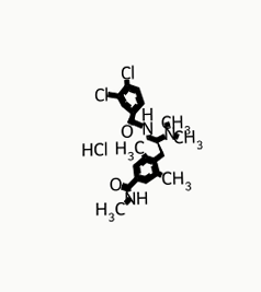 CNC(=O)c1cc(C)c(C[C@@H](CNC(=O)c2ccc(Cl)c(Cl)c2)N(C)C)c(C)c1.Cl